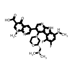 CNc1cc(F)c(F)c2c1[nH]c1ncc(-c3cnc4c(c3)c(=O)c(C(=O)O)cn4C)c(N3CCO[C@@H](CN(C)C)C3)c12